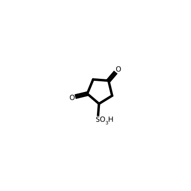 O=C1CC(=O)C(S(=O)(=O)O)C1